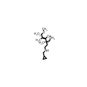 CC[C@](C)(CCNCC1CC1)/C(C)=C(\C)[C@H](C)OC